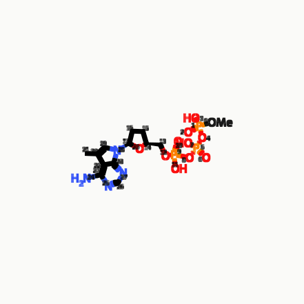 COP(=O)(O)OP(=O)(O)OP(=O)(O)OC[C@@H]1CC[C@H](n2cc(C)c3c(N)ncnc32)O1